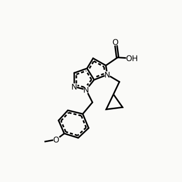 COc1ccc(Cn2ncc3cc(C(=O)O)n(CC4CC4)c32)cc1